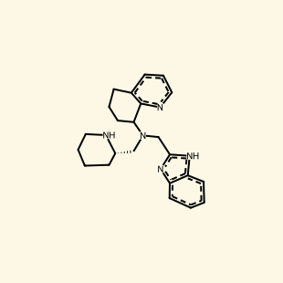 c1cnc2c(c1)CCCC2N(Cc1nc2ccccc2[nH]1)C[C@@H]1CCCCN1